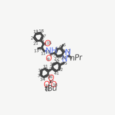 CCCc1nc2c(C)cc(C(=O)NCC(C)C(=O)c3ccccc3)cc2n1Cc1ccc(-c2ccccc2OC(=O)OC(C)(C)C)cc1